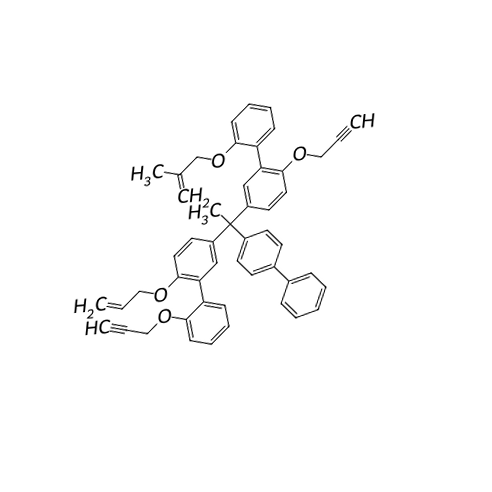 C#CCOc1ccccc1-c1cc(C(C)(c2ccc(-c3ccccc3)cc2)c2ccc(OCC#C)c(-c3ccccc3OCC(=C)C)c2)ccc1OCC=C